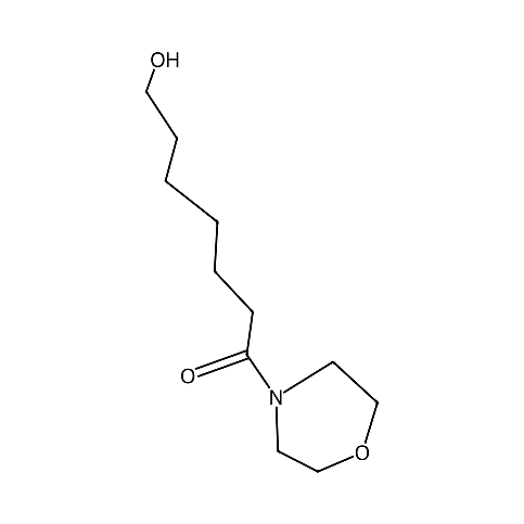 O=C(CCCCCCO)N1CCOCC1